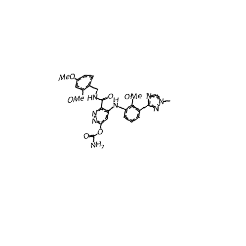 COc1ccc(CNC(=O)c2nnc(OC(N)=O)cc2Nc2cccc(-c3ncn(C)n3)c2OC)c(OC)c1